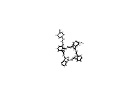 [Zn].c1ccc2c(c1)-c1nc-2nc2[nH]c(nc3nc(nc4[nH]c(n1)c1ccccc41)-c1ccccc1-3)c1c(OCCN3CCNCC3)cccc21